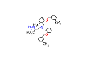 Cc1cccc(COc2ccccc2CN(CC[C@H](N)C(=O)O)Cc2c(C)cccc2OCc2cccc(C)c2)c1